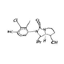 Cc1c(N2C(=O)N3CCC(O)[C@H]3C2C(C)C)ccc(C#N)c1Cl